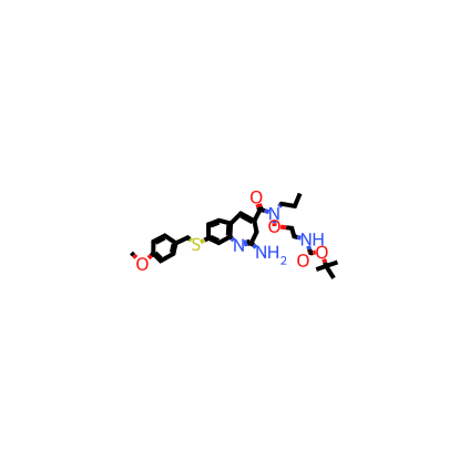 CCCN(OCCNC(=O)OC(C)(C)C)C(=O)C1=Cc2ccc(SCc3ccc(OC)cc3)cc2N=C(N)C1